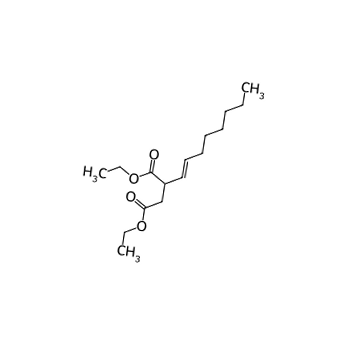 CCCCCCC=CC(CC(=O)OCC)C(=O)OCC